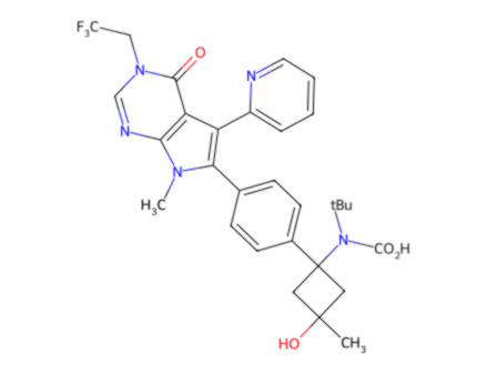 Cn1c(-c2ccc(C3(N(C(=O)O)C(C)(C)C)CC(C)(O)C3)cc2)c(-c2ccccn2)c2c(=O)n(CC(F)(F)F)cnc21